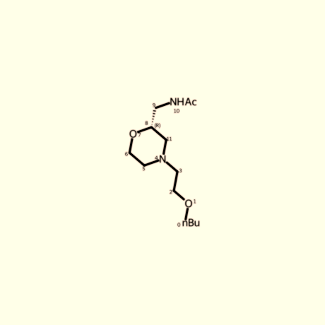 CCCCOCCN1CCO[C@H](CNC(C)=O)C1